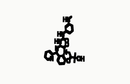 CNc1cccc(NC(=O)N[C@@H]2N=C(c3ccccn3)c3ccccc3N(CC(=O)C(C)(C)O)C2=O)c1